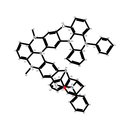 CN1c2cc3c(cc2B2c4cc5c(cc4N(C)c4cccc1c42)Oc1cccc2c1B5c1ccccc1N2c1ccccc1)B1c2ccccc2N(c2ccccc2)c2cccc(c21)O3